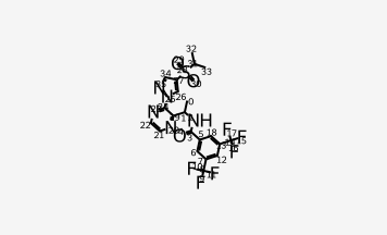 CC(NC(=O)c1cc(C(F)(F)F)cc(C(F)(F)F)c1)c1nccnc1-n1cc(S(=O)(=O)C(C)C)cn1